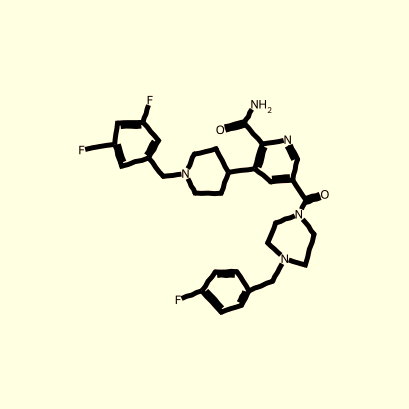 NC(=O)c1ncc(C(=O)N2CCN(Cc3ccc(F)cc3)CC2)cc1C1CCN(Cc2cc(F)cc(F)c2)CC1